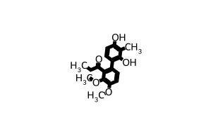 CCC(=O)c1c(-c2ccc(O)c(C)c2O)ccc(OC)c1OC